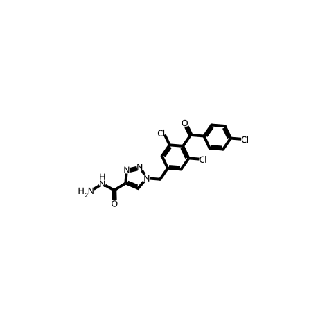 NNC(=O)c1cn(Cc2cc(Cl)c(C(=O)c3ccc(Cl)cc3)c(Cl)c2)nn1